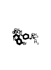 CN(C)C[C@H]1CC[C@H](Nc2c(S(C)(=O)=O)cnc3ccc(Br)cc23)CC1